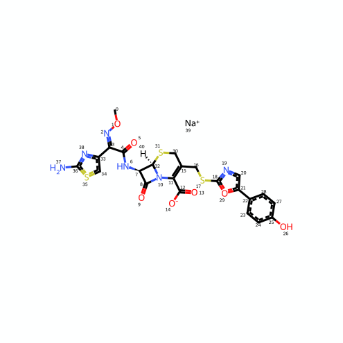 CO/N=C(\C(=O)N[C@@H]1C(=O)N2C(C(=O)[O-])=C(CSc3ncc(-c4ccc(O)cc4)o3)CS[C@H]12)c1csc(N)n1.[Na+]